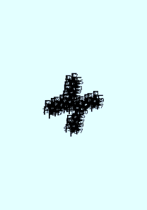 Fc1cc(-c2c(F)c(-c3c(F)cc(-c4c(F)c(F)c(F)c(F)c4F)c(F)c3F)c(F)c(-c3c(F)c(-c4c(F)c(F)c(-c5c(F)c(F)c(F)c(F)c5F)c(F)c4F)c(F)c(-c4c(F)c(F)c(-c5c(F)c(F)c(F)c(F)c5F)c(F)c4F)c3F)c2F)c(F)c(F)c1-c1c(F)c(F)c(F)c(F)c1F